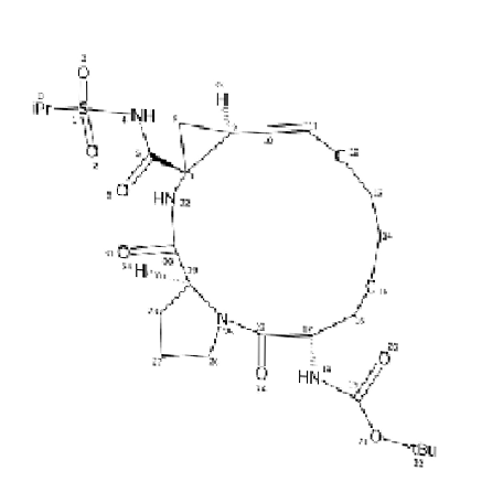 CC(C)S(=O)(=O)NC(=O)[C@@]12C[C@H]1/C=C\CCCCC[C@H](NC(=O)OC(C)(C)C)C(=O)N1CCC[C@H]1C(=O)N2